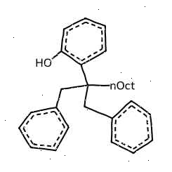 CCCCCCCCC(Cc1ccccc1)(Cc1ccccc1)c1ccccc1O